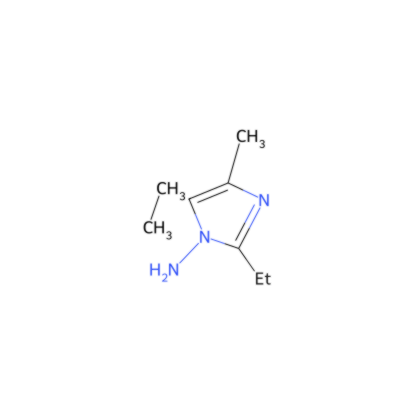 CC.CCc1nc(C)cn1N